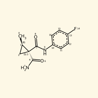 C[C@@H]1C[C@]1(C(N)=O)C(=O)Nc1ccc(F)cc1